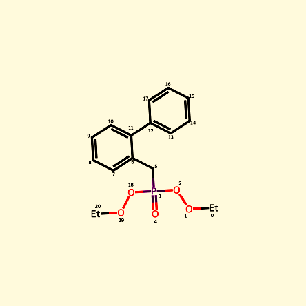 CCOOP(=O)(Cc1ccccc1-c1ccccc1)OOCC